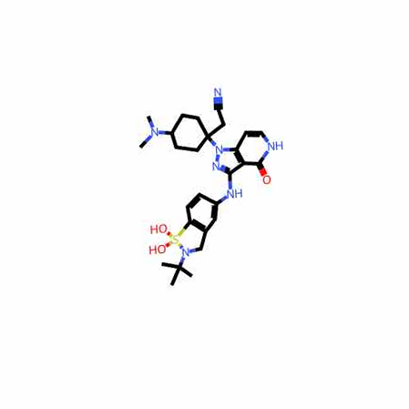 CN(C)C1CCC(CC#N)(n2nc(Nc3ccc4c(c3)CN(C(C)(C)C)S4(O)O)c3c(=O)[nH]ccc32)CC1